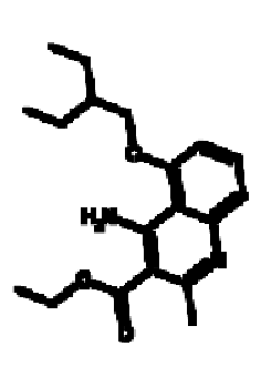 CCOC(=O)c1c(C)nc2cccc(OCC(CC)CC)c2c1N